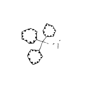 [O-][Cl+3]([O-])([O-])OC(c1ccccc1)(c1ccccc1)c1ccccc1